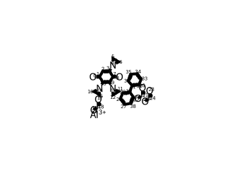 O=C1C=C(N2CC2)C(=O)C(N2CC2)=C1N1CC1.O=P[O-].O=P[O-].O=P[O-].[Al+3].c1ccc(-c2ccccc2)cc1